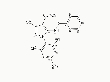 N#CSc1c(C#N)nn(-c2c(Cl)cc(C(F)(F)F)cc2Cl)c1NCc1cnccn1